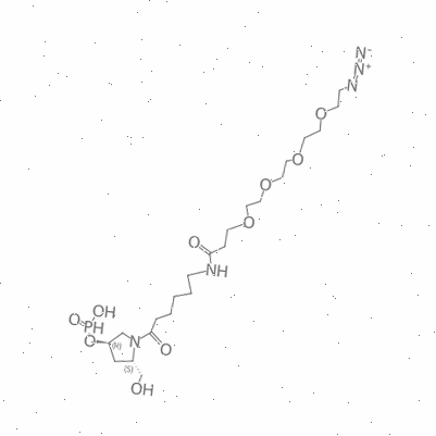 [N-]=[N+]=NCCOCCOCCOCCOCCC(=O)NCCCCCC(=O)N1C[C@H](O[PH](=O)O)C[C@H]1CO